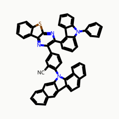 N#Cc1cc(-c2nc3c(nc2-c2cccc4c2c2ccccc2n4-c2ccccc2)sc2ccccc23)ccc1-n1c2cc3ccccc3cc2c2ccc3ccccc3c21